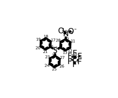 F[P-](F)(F)(F)(F)F.O=[N+]([O-])c1cccc([S+](c2ccccc2)c2ccccc2)c1